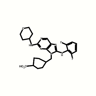 O=C(O)C1CCC(Cn2c(Nc3c(F)cccc3F)nc3cnc(NC4CCOCC4)nc32)CC1